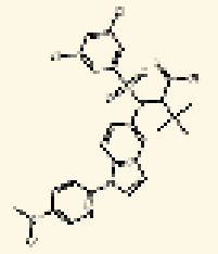 C[S+]([O-])c1ccc(-n2ccc3cc(N(C(C(=O)O)C(C)(C)C)S(=O)(=O)c4cc(Cl)cc(Cl)c4)ccc32)nc1